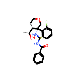 C[C@@H](O)[C@@H]1CCOC[C@@]1(NC(=S)NC(=O)c1ccccc1)c1ccccc1F